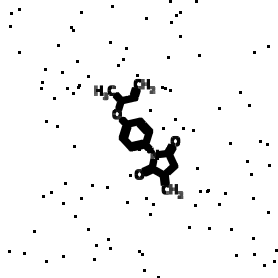 C=CC(C)Oc1ccc(N2C(=O)CC(=C)C2=O)cc1